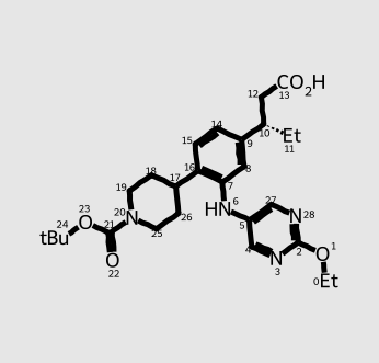 CCOc1ncc(Nc2cc([C@@H](CC)CC(=O)O)ccc2C2CCN(C(=O)OC(C)(C)C)CC2)cn1